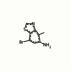 Cc1c(N)cc(Br)c2scnc12